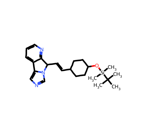 CC(C)(C)[Si](C)(C)OC1CCC(/C=C/C2c3ncccc3-c3cncn32)CC1